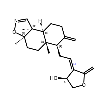 C=C1OC[C@@H](O)/C1=C\C[C@@H]1C(=C)CC[C@H]2[C@@]1(C)CC[C@@]1(C)ON=C[C@@]21C